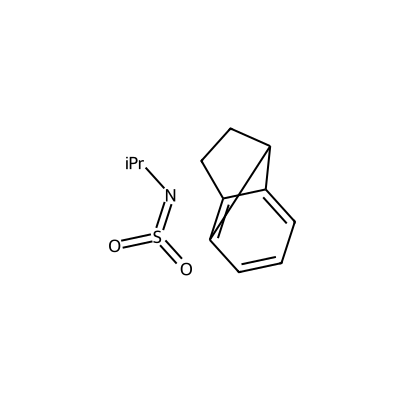 CC(C)N=S(=O)=O.c1cc2c3c(c1)C2CC3